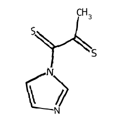 CC(=S)C(=S)n1ccnc1